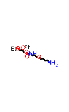 CCOCC(COC(=O)NCCCOCCCCN)OCC